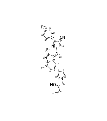 CCc1nn2c(C)cc(-c3cnn(CC(O)CO)c3)cc2c1N(C)c1nc(-c2ccc(F)cc2)c(C#N)s1